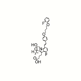 Cc1c(CCCC(=O)O)c2c(F)ccc(C=Cc3ccc(OCCCCOc4ccccc4F)cc3)c2n1CC(=O)O